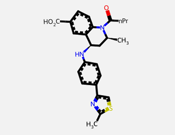 CCCC(=O)N1c2ccc(C(=O)O)cc2[C@H](Nc2ccc(-c3csc(C)n3)cc2)C[C@@H]1C